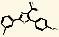 COc1ccc(-c2oc(-c3cccc(F)c3)nc2C(N)=O)cc1